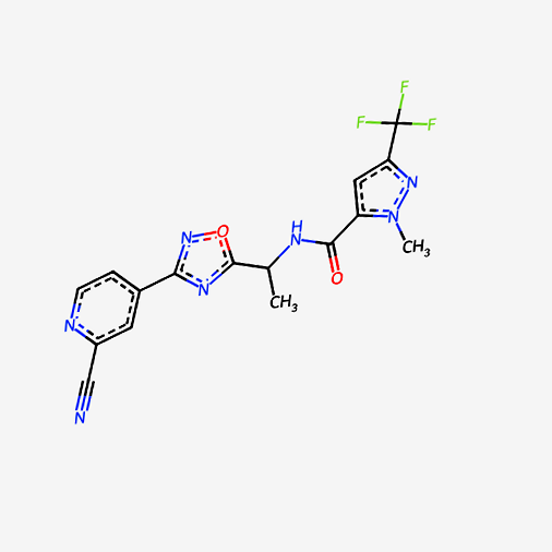 CC(NC(=O)c1cc(C(F)(F)F)nn1C)c1nc(-c2ccnc(C#N)c2)no1